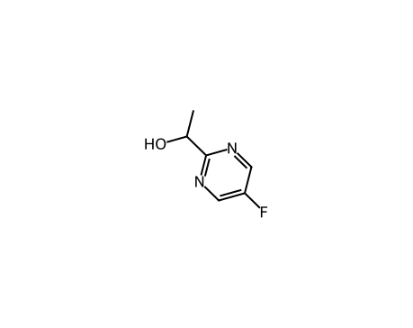 CC(O)c1ncc(F)cn1